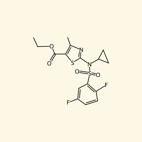 CCOC(=O)c1sc(N(C2CC2)S(=O)(=O)c2cc(F)ccc2F)nc1C